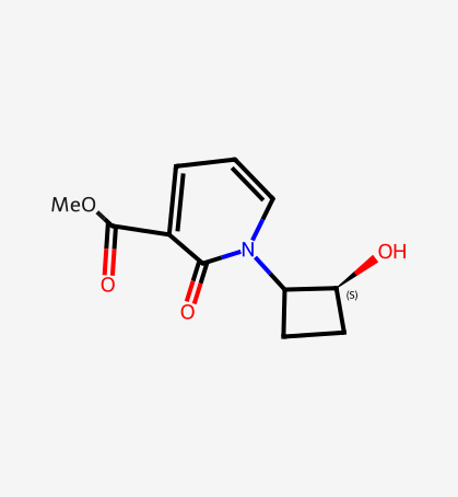 COC(=O)c1cccn(C2CC[C@@H]2O)c1=O